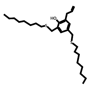 C=CCc1cc(CSCCCCCCCC)cc(CSCCCCCCCC)c1O